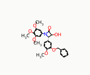 COc1ccc([C@H]2C(O)C(=O)N2c2cc(OC)c(OC)c(OC)c2)cc1OCc1ccccc1